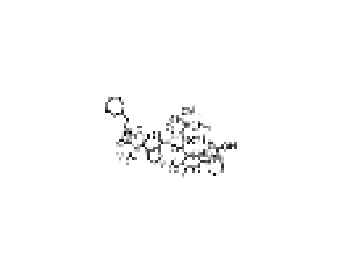 CC[C@H](C)[C@@H]([C@H](CC(=O)N1CCC[C@H]1[C@H](OC)[C@@H](C)C(=O)NCCC1C=CC=CC=C1)OC)N(C)C(=O)[C@@H](NC(=O)[C@]1(C)CCCCN1C(=O)O)C(C)C